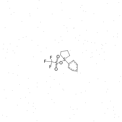 O=S(=O)(OS1(c2ccccc2)CCCC1)C(F)(F)F